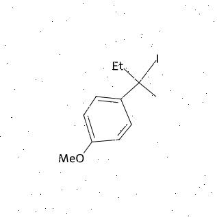 CCC(C)(I)c1ccc(OC)cc1